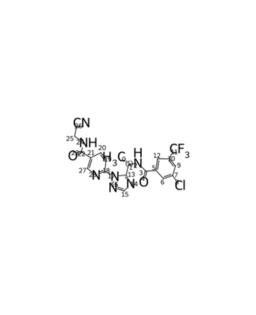 C[C@H](NC(=O)c1cc(Cl)cc(C(F)(F)F)c1)c1ncnn1-c1ccc(C(=O)NCC#N)cn1